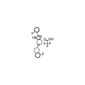 Fc1ccccc1-c1nc2c([nH]1)CN(C1CCc3cccc(F)c3C1)CC2.O=C(O)C(F)(F)F